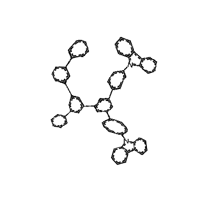 c1ccc(-c2cccc(-c3cc(-c4ccccc4)cc(-c4cc(-c5ccc(-n6c7ccccc7c7ccccc76)cc5)cc(-c5ccc(-n6c7ccccc7c7ccccc76)cc5)c4)c3)c2)cc1